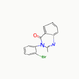 Cc1nc2ccccc2c(=O)n1-c1ccccc1Br